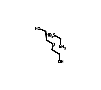 NCS(=O)(=O)O.OCCOCCO